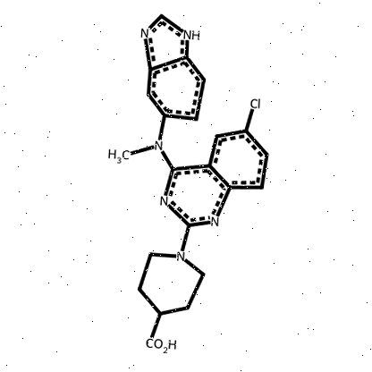 CN(c1ccc2[nH]cnc2c1)c1nc(N2CCC(C(=O)O)CC2)nc2ccc(Cl)cc12